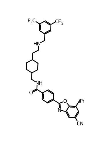 CC(C)c1cc(C#N)cc2nc(-c3ccc(C(=O)NCC4CCC(CCNCc5cc(C(F)(F)F)cc(C(F)(F)F)c5)CC4)cc3)oc12